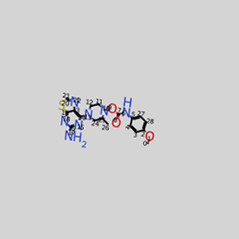 COc1ccc(NC(=O)ON2CCN(c3nc(N)nc4scnc34)CC2C)cc1